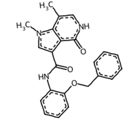 Cc1c[nH]c(=O)c2c(C(=O)Nc3ccccc3OCc3ccccc3)cn(C)c12